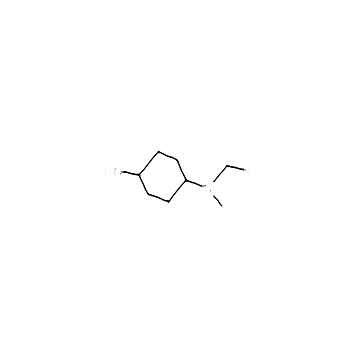 CC(C)CN(C)C1CCC(N)CC1